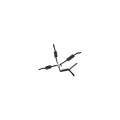 CC#[C][Sn]([C]#CC)([C]#CC)[CH]=C(C)C